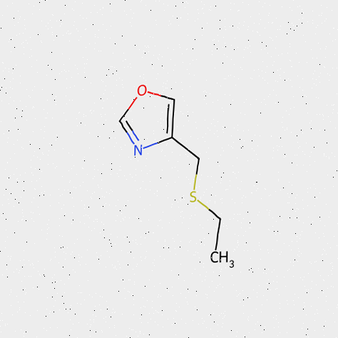 CCSCc1cocn1